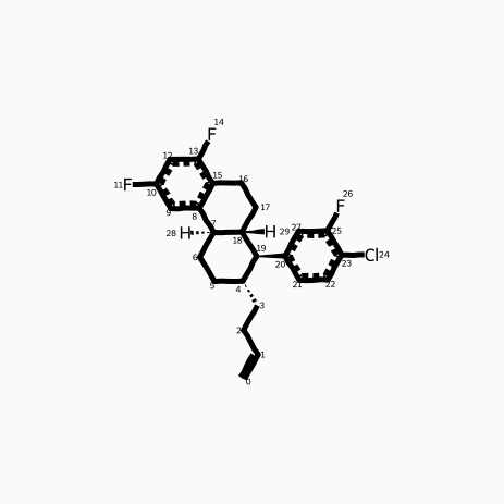 C=CCC[C@@H]1CC[C@H]2c3cc(F)cc(F)c3CC[C@@H]2[C@H]1c1ccc(Cl)c(F)c1